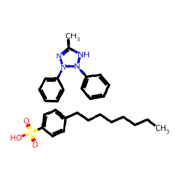 CC1=NN(c2ccccc2)N(c2ccccc2)N1.CCCCCCCCc1ccc(S(=O)(=O)O)cc1